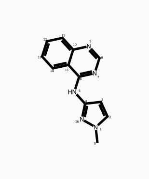 Cn1ccc(Nc2ncnc3ccccc23)n1